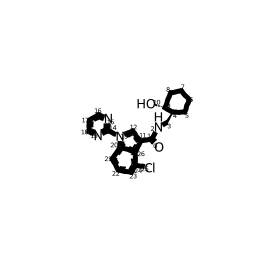 O=C(NC[C@@H]1CCCC[C@H]1O)c1cn(-c2ncccn2)c2cccc(Cl)c12